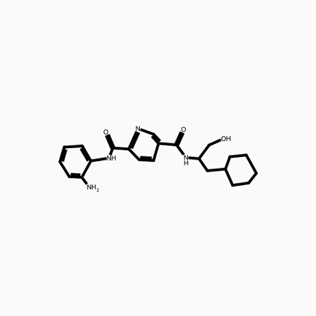 Nc1ccccc1NC(=O)c1ccc(C(=O)NC(CO)CC2CCCCC2)cn1